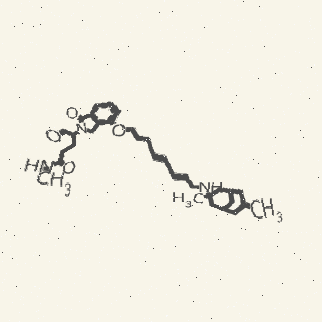 CNC(=O)CCC(C=O)N1Cc2c(OCCCCCCCCNC3(C)CC4CC(C)CC(C4)C3)cccc2C1=O